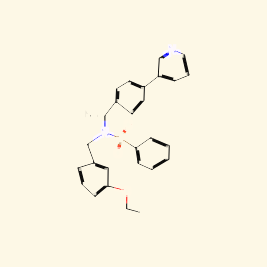 O=C(O)COc1cccc(CN(Cc2ccc(-c3cccnc3)cc2)S(=O)(=O)c2ccccc2)c1.[Na]